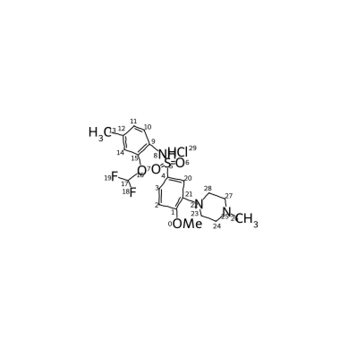 COc1ccc(S(=O)(=O)Nc2ccc(C)cc2OC(F)F)cc1N1CCN(C)CC1.Cl